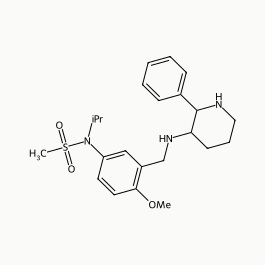 COc1ccc(N(C(C)C)S(C)(=O)=O)cc1CNC1CCCNC1c1ccccc1